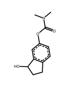 CN(C)C(=O)Oc1ccc2c(c1)C(O)CC2